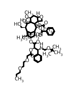 CCCOCCOCC(=O)O[C@@H](C(=O)O[C@H]1C[C@@]2(O)[C@@H](OC(=O)c3ccccc3)[C@@H]3[C@]4(OC(C)=O)CO[C@@H]4C[C@H](OC)[C@@]3(C)C(=O)[C@H](CO)C(=C1C)C2(C)C)[C@@H](NCOC(C)(C)C)c1ccccc1